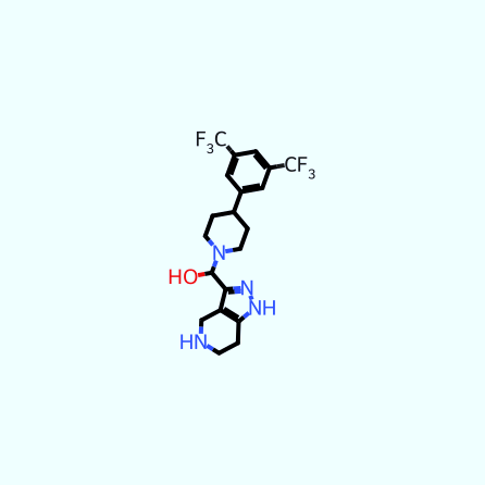 OC(c1n[nH]c2c1CNCC2)N1CCC(c2cc(C(F)(F)F)cc(C(F)(F)F)c2)CC1